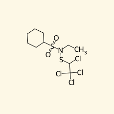 CCN(SC(Cl)C(Cl)(Cl)Cl)S(=O)(=O)C1CCCCC1